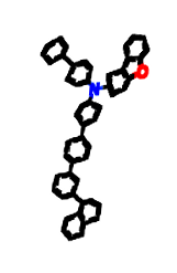 c1ccc(-c2ccc(N(c3ccc(-c4ccc(-c5cccc(-c6cccc7ccccc67)c5)cc4)cc3)c3ccc4oc5ccccc5c4c3)cc2)cc1